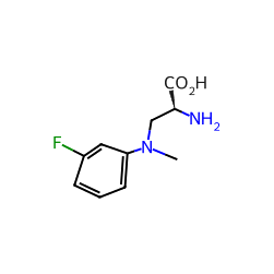 CN(C[C@H](N)C(=O)O)c1cccc(F)c1